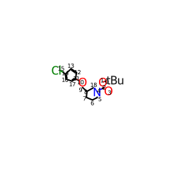 CC(C)(C)OC(=O)N1CCCC(COc2ccc(Cl)cc2)C1